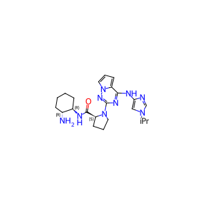 CC(C)n1cnc(Nc2nc(N3CCC[C@H]3C(=O)N[C@@H]3CCCC[C@H]3N)nn3cccc23)c1